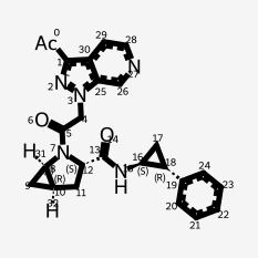 CC(=O)c1nn(CC(=O)N2[C@@H]3C[C@@H]3C[C@H]2C(=O)N[C@H]2C[C@@H]2c2ccccc2)c2cnccc12